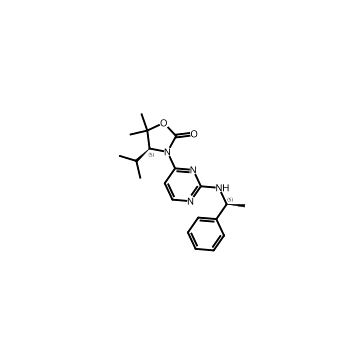 CC(C)[C@@H]1N(c2ccnc(N[C@@H](C)c3ccccc3)n2)C(=O)OC1(C)C